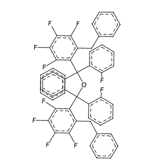 Fc1ccccc1C(OC(c1ccccc1)(c1ccccc1F)c1c(F)c(F)c(F)c(F)c1Cc1ccccc1)(c1ccccc1)c1c(F)c(F)c(F)c(F)c1Cc1ccccc1